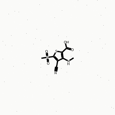 CNc1c(C(=O)O)sc(S(C)(=O)=O)c1C#N